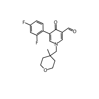 CC1(Cn2cc(C=O)c(=O)c(-c3ccc(F)cc3F)c2)CCOCC1